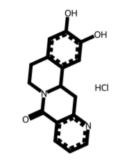 Cl.O=C1c2cccnc2CC2c3cc(O)c(O)cc3CCN12